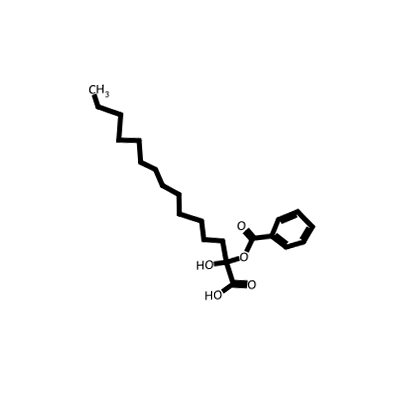 CCCCCCCCCCCCCC(O)(OC(=O)c1ccccc1)C(=O)O